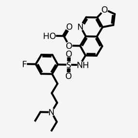 CCN(CC)CCCc1cc(F)ccc1S(=O)(=O)Nc1ccc2c(ncc3occc32)c1OC(=O)O